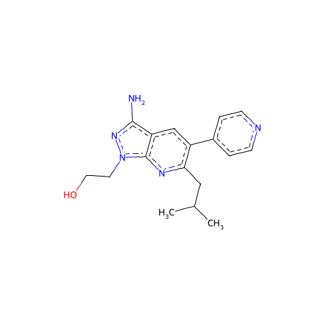 CC(C)Cc1nc2c(cc1-c1ccncc1)c(N)nn2CCO